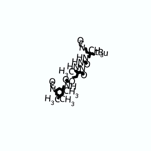 Cc1[nH]c(NC(=O)NCC(C)(CCN=C=O)CC(C)(C)C)nc(=O)c1CCOC(=O)NCC1(C)CC(N=C=O)CC(C)(C)C1